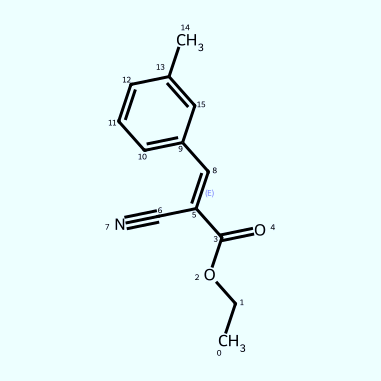 CCOC(=O)/C(C#N)=C/c1cccc(C)c1